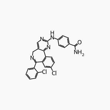 NC(=O)c1ccc(Nc2ncc3c(n2)-c2ccc(Cl)cc2C(c2ccccc2Cl)=NC3)cc1